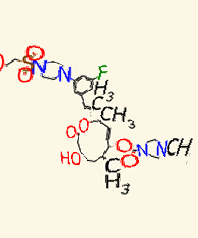 C/C(=C\c1cc(F)cc(N2CCN(S(=O)(=O)CCO)CC2)c1)[C@H]1OC(=O)C[C@H](O)CC[C@H](C)[C@@H](OC(=O)N2CCN(C)CC2)/C=C/[C@@H]1C